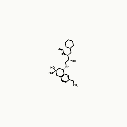 CCc1ccc2c(c1)[C@@H](NC[C@@H](O)[C@H](CC1CCCCC1)NC=O)CS(O)(O)C2